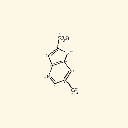 CCOC(=O)c1cc2ncc(C(F)(F)F)cc2s1